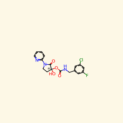 O=C(NCc1cc(F)cc(Cl)c1)O[C@]1(O)CCN(c2ccccn2)C1=O